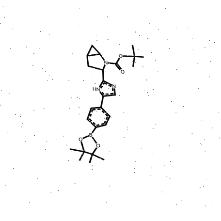 CC(C)(C)OC(=O)N1C(c2ncc(-c3ccc(B4OC(C)(C)C(C)(C)O4)cc3)[nH]2)CC2CC21